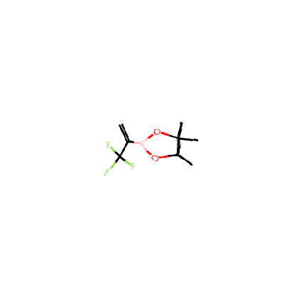 C=C(B1OC(C)C(C)(C)O1)C(F)(F)F